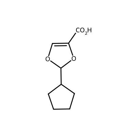 O=C(O)C1=COC(C2CCCC2)O1